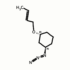 CC=CCO[C@@H]1CCC[C@@H](N=[N+]=[N-])C1